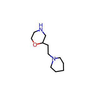 C1CCN(CCC2CNCCO2)CC1